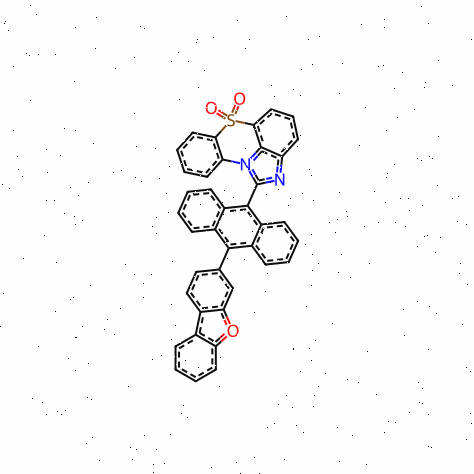 O=S1(=O)c2ccccc2-n2c(-c3c4ccccc4c(-c4ccc5c(c4)oc4ccccc45)c4ccccc34)nc3cccc1c32